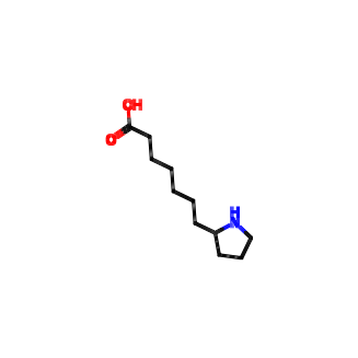 O=C(O)CCCCCCC1CCCN1